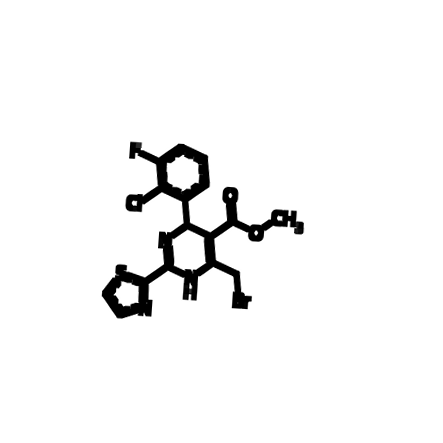 COC(=O)C1=C(CBr)NC(c2nccs2)=NC1c1cccc(F)c1Cl